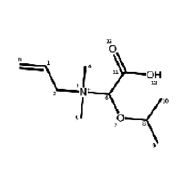 C=CC[N+](C)(C)C(OC(C)C)C(=O)O